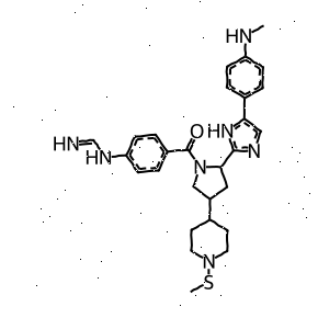 CNc1ccc(-c2cnc(C3CC(C4CCN(SC)CC4)CN3C(=O)c3ccc(NC=N)cc3)[nH]2)cc1